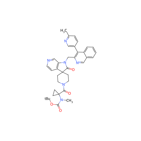 Cc1ccc(-c2c(CN3C(=O)C4(CCN(C(=O)C5(N(C)C(=O)OC(C)(C)C)CC5)CC4)c4ccncc43)ncc3ccccc23)cn1